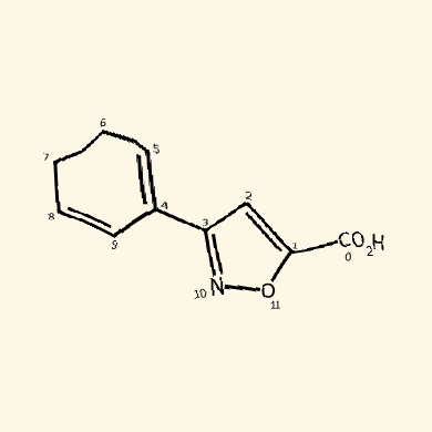 O=C(O)c1cc(C2=CCCC=C2)no1